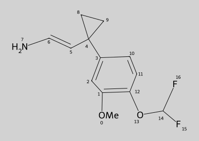 COc1cc(C2(C=CN)CC2)ccc1OC(F)F